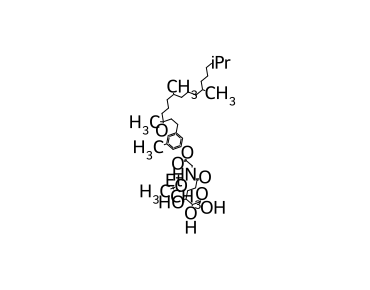 CCC(C)(C)OC1C(C(=O)NCC(=O)Oc2cc(C)c3c(c2)CCC(C)(CCCC(C)CCCC(C)CCCC(C)C)O3)OC(O)C(O)C1O